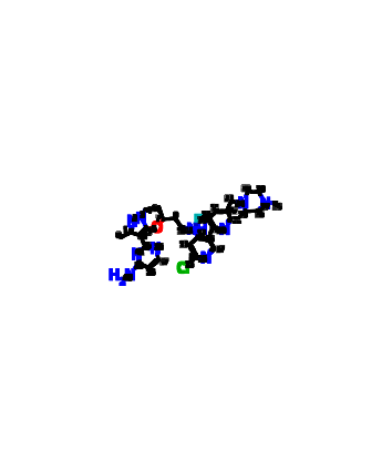 Cc1nn(C)c(O[C@@H](C)CCNc2cc(Cl)ncc2-c2ncc(CN3CCN(C)CC3)cc2F)c1-c1nccc(N)n1